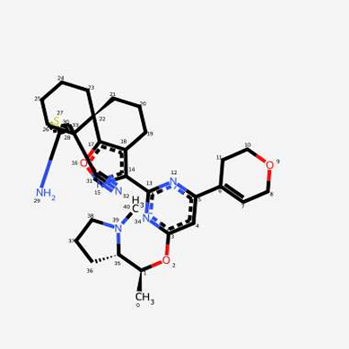 C[C@H](Oc1cc(C2=CCOCC2)nc(-c2noc3c2CCC[C@@]32CCCc3sc(N)c(C#N)c32)n1)[C@@H]1CCCN1C